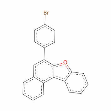 Brc1ccc(-c2cc3ccccc3c3c2oc2ccccc23)cc1